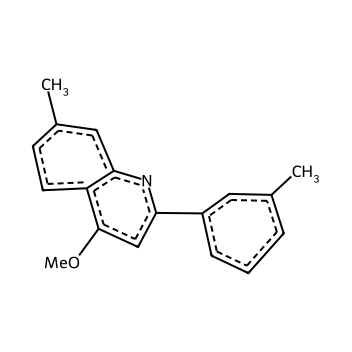 COc1cc(-c2cccc(C)c2)nc2cc(C)ccc12